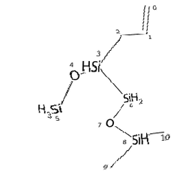 C=CC[SiH](O[SiH3])[SiH2]O[SiH](C)C